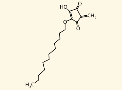 C=C1C(=O)C(O)=C(OCCCCCCCCCCCC)C1=O